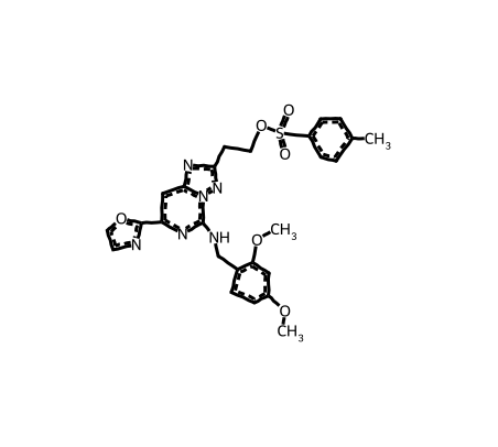 COc1ccc(CNc2nc(-c3ncco3)cc3nc(CCOS(=O)(=O)c4ccc(C)cc4)nn23)c(OC)c1